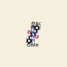 COc1ccc(/C=c2\[nH]c(=O)/c(=C/c3cccc(C(=S)OC(C)=O)c3)[nH]c2=O)cc1